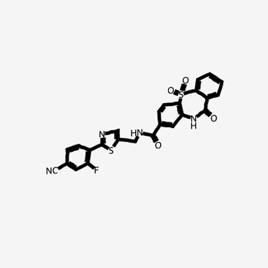 N#Cc1ccc(-c2ncc(CNC(=O)c3ccc4c(c3)NC(=O)c3ccccc3S4(=O)=O)s2)c(F)c1